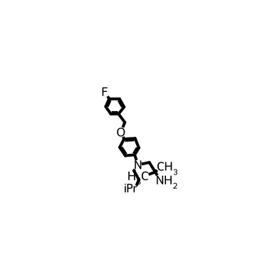 CC(C)CCN(CC(C)(C)N)c1ccc(OCc2ccc(F)cc2)cc1